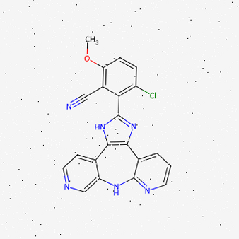 COc1ccc(Cl)c(-c2nc3c([nH]2)-c2ccncc2Nc2ncccc2-3)c1C#N